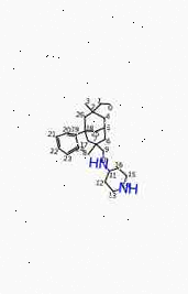 CCC1(C)CC2CC(C)(CNC3CCNCC3)CC(c3ccccc3)(C2)C1